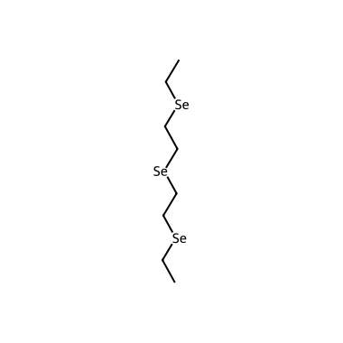 CC[Se]CC[Se]CC[Se]CC